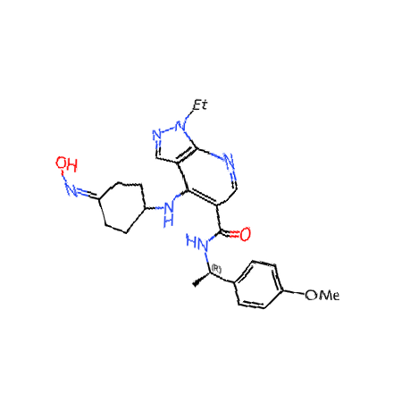 CCn1ncc2c(NC3CCC(=NO)CC3)c(C(=O)N[C@H](C)c3ccc(OC)cc3)cnc21